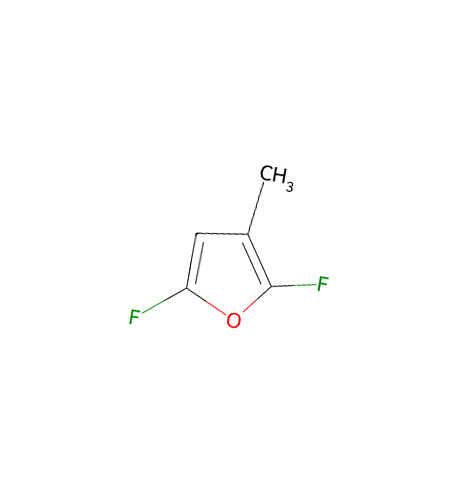 Cc1cc(F)oc1F